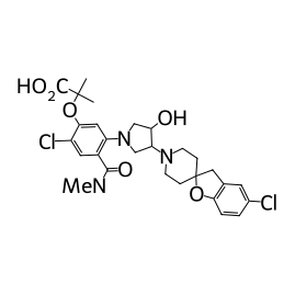 CNC(=O)c1cc(Cl)c(OC(C)(C)C(=O)O)cc1N1CC(O)C(N2CCC3(CC2)Cc2cc(Cl)ccc2O3)C1